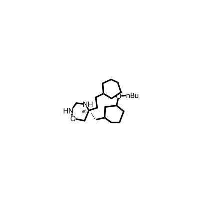 CCCCOC1CCCC(C[C@]2(CCC3CCCCC3)CONCN2)C1